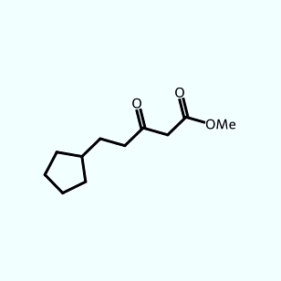 COC(=O)CC(=O)CCC1CCCC1